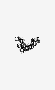 O=C(N[C@@H]1CCCC[C@H]1N1Cc2ccc(-c3nnc(C(F)F)o3)cc2C1=O)c1cccc(Cl)c1